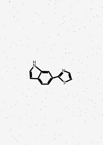 [c]1cnc(-c2ccc3cc[nH]c3c2)s1